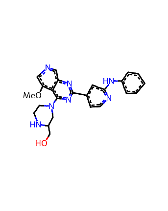 COc1cncc2nc(-c3ccnc(Nc4ccccc4)c3)nc(N3CCNC(CO)C3)c12